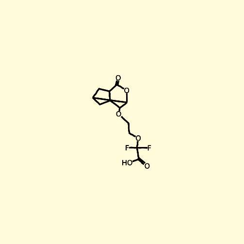 O=C1OC2C3CC1C(C3)C2OCCOC(F)(F)C(=O)O